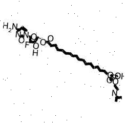 CC(C)=NCCOP(=O)(O)OCCCCCCCCCCCCCCCCCC(=O)OC[C@H]1O[C@@H](n2ccc(N)nc2=O)[C@@H](F)C1O